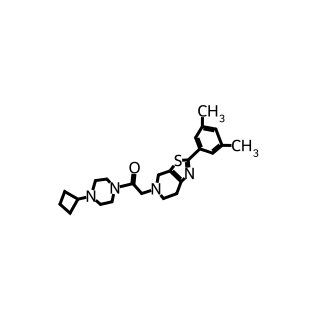 Cc1cc(C)cc(-c2nc3c(s2)CN(CC(=O)N2CCN(C4CCC4)CC2)CC3)c1